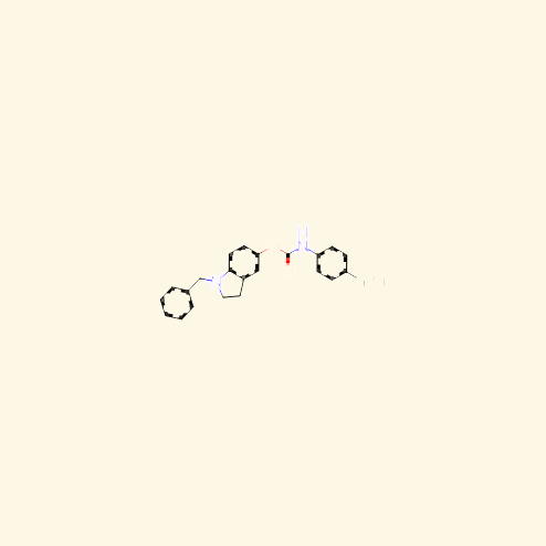 CCCCc1ccc(NC(=O)Oc2ccc3c(c2)CCN3Cc2ccccc2)cc1